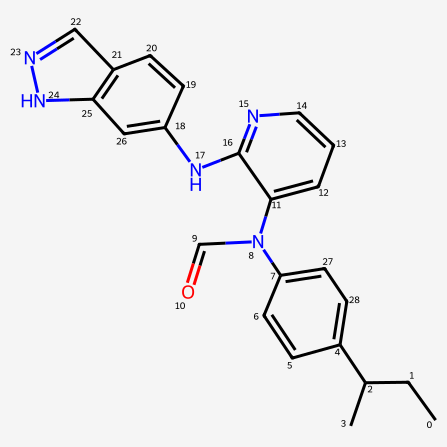 CCC(C)c1ccc(N(C=O)c2cccnc2Nc2ccc3cn[nH]c3c2)cc1